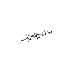 CC#Cc1c(F)cc(OCc2c(F)cc(-c3ccc(CCC)cc3)cc2F)cc1F